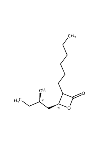 CCCCCCC1C(=O)O[C@H]1C[C@H](O)CC